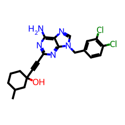 CC1CCCC(O)(C#Cc2nc(N)c3ncn(Cc4ccc(Cl)c(Cl)c4)c3n2)C1